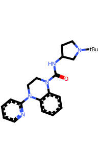 CC(C)(C)N1CCC(NC(=O)N2CCN(c3ccccn3)c3ccccc32)C1